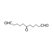 O=CCCCCC(=O)CCCCC=O